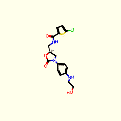 O=C(NC[C@H]1CN(c2ccc(NCCO)cc2)C(=O)O1)c1ccc(Cl)s1